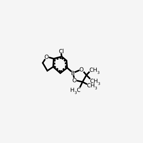 CC1(C)OB(c2cc(Cl)c3c(c2)CCO3)OC1(C)C